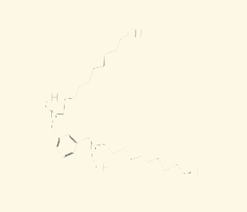 CCCCCCCCCCCN(CC)Cc1cccc(CN(CC)CCCCCCCCCCC)c1